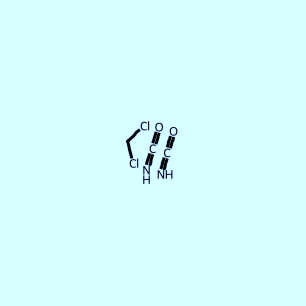 ClCCl.N=C=O.N=C=O